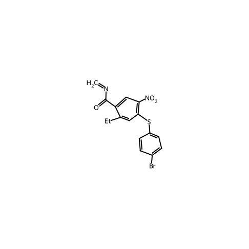 C=NC(=O)c1cc([N+](=O)[O-])c(Sc2ccc(Br)cc2)cc1CC